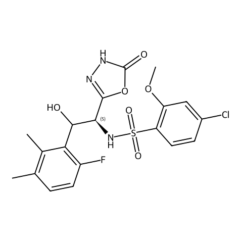 COc1cc(Cl)ccc1S(=O)(=O)N[C@H](c1n[nH]c(=O)o1)C(O)c1c(F)ccc(C)c1C